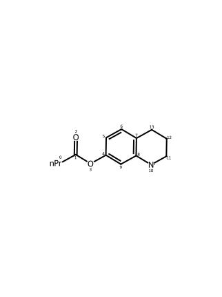 CCCC(=O)Oc1ccc2c(c1)[N]CCC2